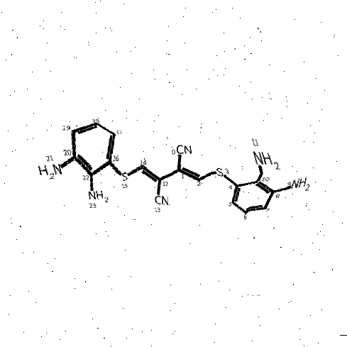 N#CC(=C\Sc1cccc(N)c1N)/C(C#N)=C/Sc1cccc(N)c1N